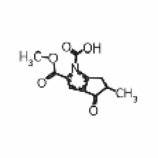 COC(=O)c1cc2c(n1C(=O)O)CC(C)C2=O